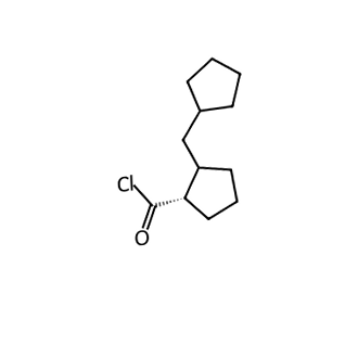 O=C(Cl)[C@H]1CCCC1CC1CCCC1